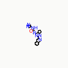 CN(CC(=O)Nc1cnn(C)c1)c1nc(-c2cc3ccccc3cn2)nc2c1CCC2